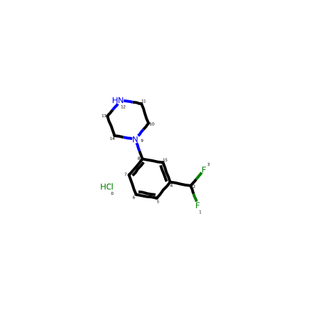 Cl.FC(F)c1cccc(N2CCNCC2)c1